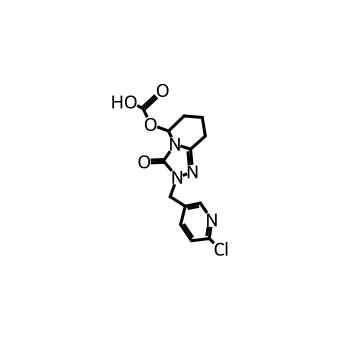 O=C(O)OC1CCCc2nn(Cc3ccc(Cl)nc3)c(=O)n21